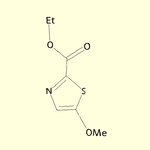 CCOC(=O)c1ncc(OC)s1